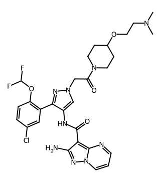 CN(C)CCOC1CCN(C(=O)Cn2cc(NC(=O)c3c(N)nn4cccnc34)c(-c3cc(Cl)ccc3OC(F)F)n2)CC1